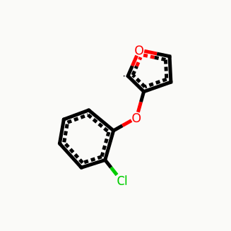 Clc1ccccc1Oc1[c]occ1